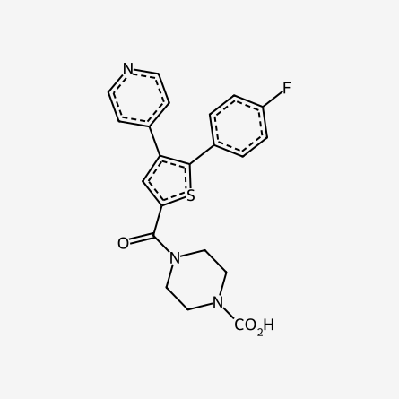 O=C(O)N1CCN(C(=O)c2cc(-c3ccncc3)c(-c3ccc(F)cc3)s2)CC1